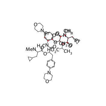 CNC(CC1CC1)C(=O)OC(Cc1ccc(N2CCOCC2)cc1)C(=O)N(C)C(CC(C)C)C(=O)OC(C)C(=O)N(C)C(CC1CC1)C(=O)OC(Cc1ccc(N2CCOCC2)cc1)C(=O)N(C)C(CC(C)C)C(=O)OC(C)C(=O)O